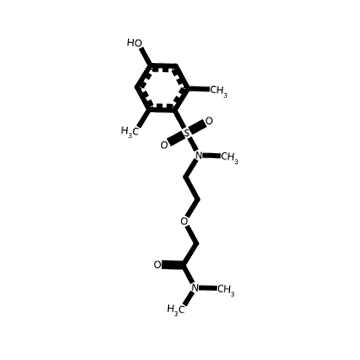 Cc1cc(O)cc(C)c1S(=O)(=O)N(C)CCOCC(=O)N(C)C